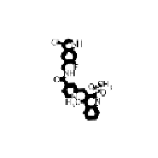 Cc1c(Cc2cc(C(=O)NCc3cc4c(Cl)c[nH]c4cc3F)ccn2)c(S(C)(=O)=O)nc2ccccc12